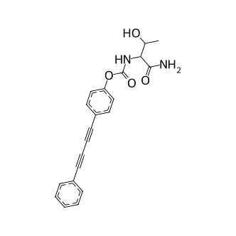 CC(O)C(NC(=O)Oc1ccc(C#CC#Cc2ccccc2)cc1)C(N)=O